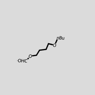 CCCCOCCCCO[C]=O